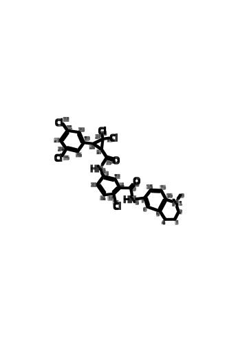 CN1CCCc2cc(NC(=O)c3cc(NC(=O)C4C(c5cc(Cl)cc(Cl)c5)C4(Cl)Cl)ccc3Cl)ccc21